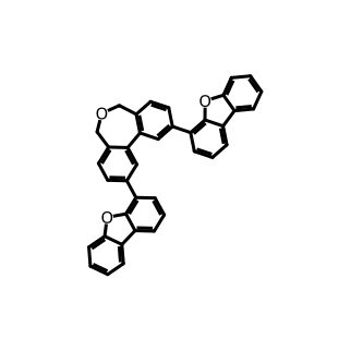 c1ccc2c(c1)oc1c(-c3ccc4c(c3)-c3cc(-c5cccc6c5oc5ccccc56)ccc3COC4)cccc12